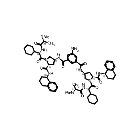 CN[C@@H](C)C(=O)N[C@H](C(=O)N1C[C@@H](NC(=O)c2cc(N)cc(C(=O)N[C@H]3C[C@@H](C(=O)N[C@@H]4CCCc5ccccc54)N(C(=O)[C@@H](NC(=O)[C@H](C)NC)C4CCCCC4)C3)c2)C[C@H]1C(=O)N[C@@H]1CCCc2ccccc21)C1CCCCC1